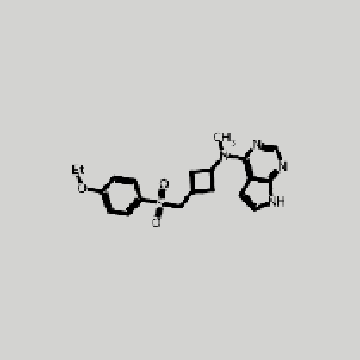 CCOc1ccc(S(=O)(=O)CC2CC(N(C)c3ncnc4[nH]ccc34)C2)cc1